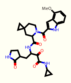 COc1cccc2[nH]c(C(=O)N3CCC4(CC4)CC3C(=O)NC(CC3CCNC3=O)C(=O)C(=O)NC3CC3)cc12